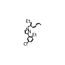 C\C=C/C=C\C(=C\CC)Cn1ccc(-c2cc(Cl)ccc2CC)n1